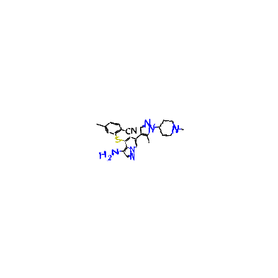 Cc1ccc(C#N)c(Sc2cc(-c3cnn(C4CCN(C)CC4)c3C)cn3ncc(N)c23)c1